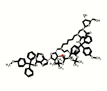 COc1ccc(C(NC2=NC(=O)N([C@H]3C[C@H](O)[C@@H](CO)O3)CN2CCCCCN(CC[C@H](NC(=O)OC(C)(C)C)C(=O)OC(C)(C)C)C[C@H]2O[C@@H](n3cnc4c(NC(c5ccccc5)(c5ccccc5)c5ccc(OC)cc5)ncnc43)[C@H](O)[C@@H]2O)(c2ccccc2)c2ccccc2)cc1